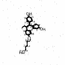 CCC(=C(c1ccc(O)cc1)c1ccc(O)cc1)c1ccc(OCCCCO)cc1